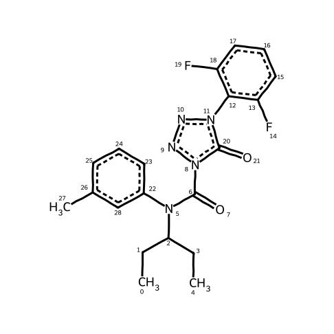 CCC(CC)N(C(=O)n1nnn(-c2c(F)cccc2F)c1=O)c1cccc(C)c1